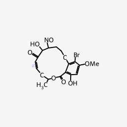 COc1cc(O)c2c(c1Br)CCCC(N=O)C(O)C(=O)/C=C\CC(C)OC2=O